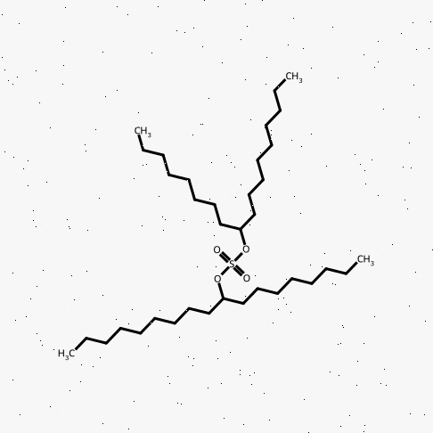 CCCCCCCCCC(CCCCCCCC)OS(=O)(=O)OC(CCCCCCCC)CCCCCCCCC